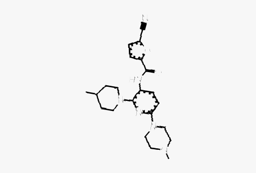 CC1CCN(c2nc(N3CCN(C)CC3)ccc2NC(=O)c2ccc(C#N)o2)CC1